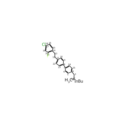 CCCC[C@@H](C)Cc1ccc(-c2ccc(CCc3ccc(Cl)cc3F)cc2)cc1